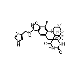 C[C@H]1CN2c3c(cc4c(NCc5c[nH]cn5)noc4c3F)CC3(C(=O)NC(=O)NC3=O)[C@@H]2[C@@H](C)O1